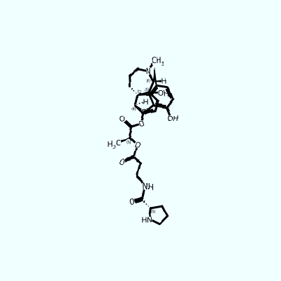 C[C@H](OC(=O)CCNC(=O)[C@@H]1CCCN1)C(=O)OC1=CC[C@@]2(O)[C@H]3Cc4ccc(O)c5c4[C@@]2(CCCN3C)[C@H]1O5